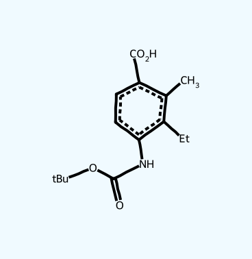 CCc1c(NC(=O)OC(C)(C)C)ccc(C(=O)O)c1C